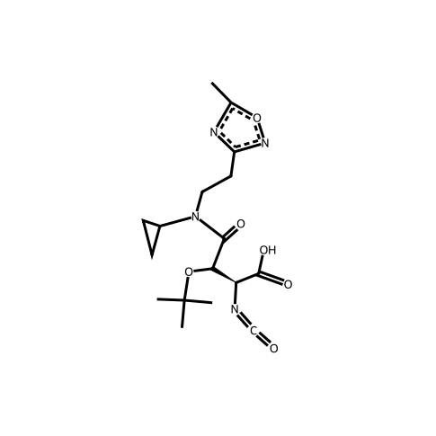 Cc1nc(CCN(C(=O)C(OC(C)(C)C)[C@H](N=C=O)C(=O)O)C2CC2)no1